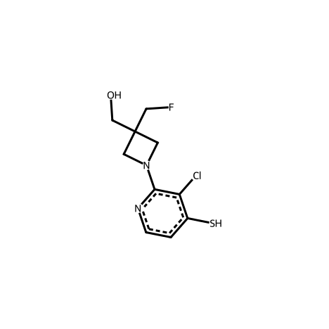 OCC1(CF)CN(c2nccc(S)c2Cl)C1